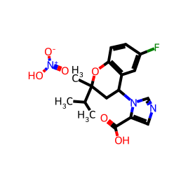 CC(C)C1(C)CC(n2cncc2C(=O)O)c2cc(F)ccc2O1.O=[N+]([O-])O